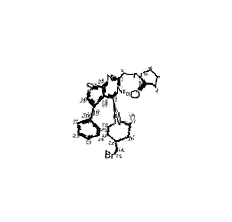 O=C1CCCN1Cc1nc(N2CCC(CBr)CC2)c2c(-c3ccccc3)csc2n1